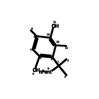 CCCCCC(C)(C)c1c(O)cc(C)c(O)c1C